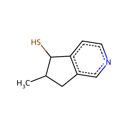 CC1Cc2cnccc2C1S